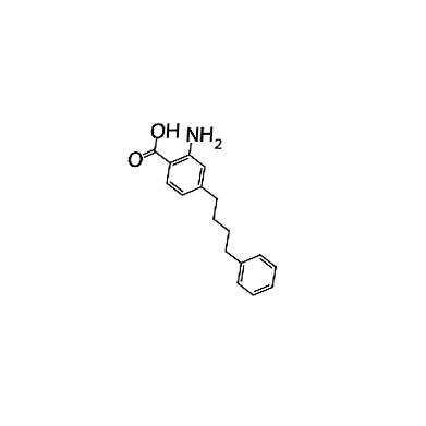 Nc1cc(CCCCc2ccccc2)ccc1C(=O)O